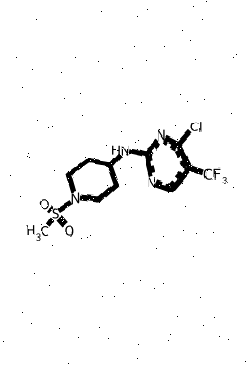 CS(=O)(=O)N1CCC(Nc2ncc(C(F)(F)F)c(Cl)n2)CC1